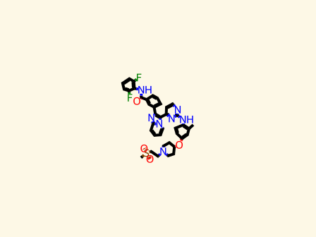 Cc1cc(OC2CCN(CCS(C)(=O)=O)CC2)ccc1Nc1nccc(-c2c(-c3cccc(C(=O)Nc4c(F)cccc4F)c3)nc3ccccn23)n1